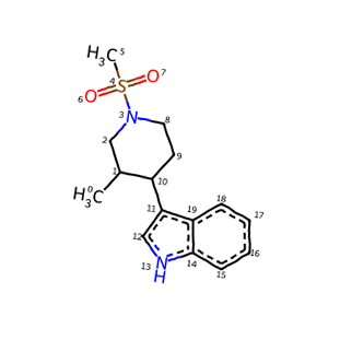 CC1CN(S(C)(=O)=O)CCC1c1c[nH]c2ccccc12